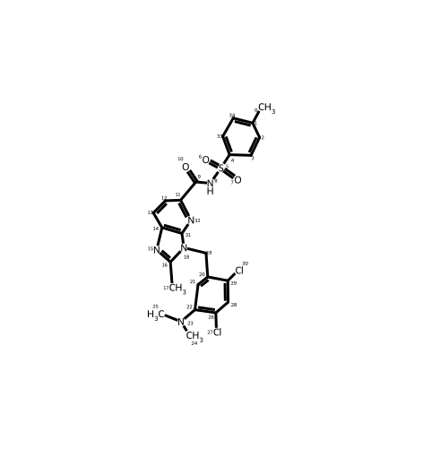 Cc1ccc(S(=O)(=O)NC(=O)c2ccc3nc(C)n(Cc4cc(N(C)C)c(Cl)cc4Cl)c3n2)cc1